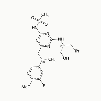 COc1ncc([C@@H](C)Cc2nc(N[C@@H](CO)CC(C)C)nc(NS(C)(=O)=O)n2)cc1F